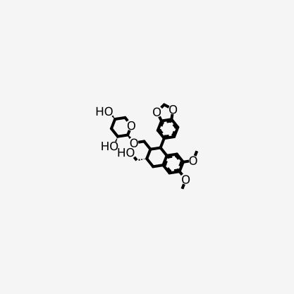 COc1cc2c(cc1OC)C(c1ccc3c(c1)OCO3)C(CO[C@@H]1OC[C@@H](O)C[C@H]1O)[C@@H](CO)C2